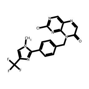 Cn1cc(C(F)(F)F)nc1-c1ccc(Cn2c(=O)cnc3cnc(Cl)nc32)cc1